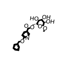 CO[C@@H]1O[C@H](COC(=O)c2ccc(OCc3ccccc3)nc2)[C@@H](O)[C@H](O)[C@H]1O